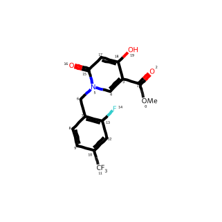 COC(=O)c1cn(Cc2ccc(C(F)(F)F)cc2F)c(=O)cc1O